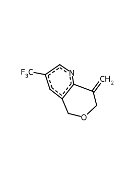 C=C1COCc2cc(C(F)(F)F)cnc21